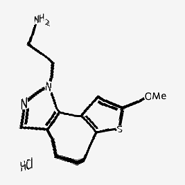 COc1cc2c(s1)CCc1cnn(CCN)c1-2.Cl